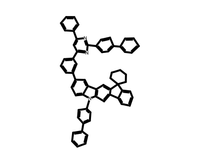 c1ccc(-c2ccc(-c3nc(-c4ccccc4)cc(-c4cccc(-c5ccc6c(c5)c5cc7c(cc5n6-c5ccc(-c6ccccc6)cc5)-c5ccccc5C75CCCCC5)c4)n3)cc2)cc1